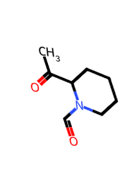 CC(=O)C1CCCCN1C=O